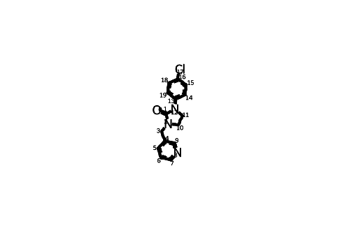 O=C1N(Cc2cccnc2)CCN1c1ccc(Cl)cc1